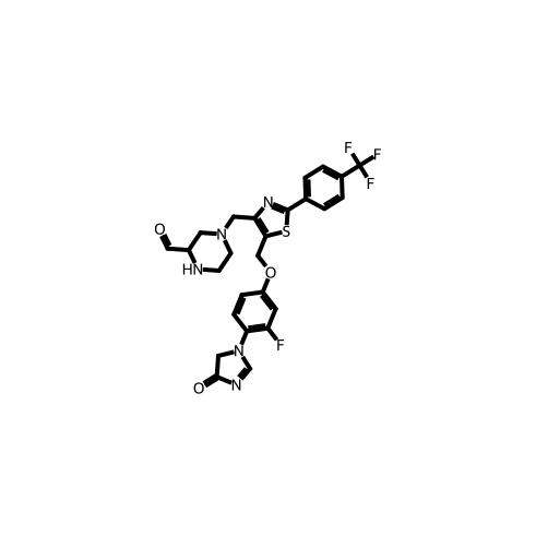 O=CC1CN(Cc2nc(-c3ccc(C(F)(F)F)cc3)sc2COc2ccc(N3C=NC(=O)C3)c(F)c2)CCN1